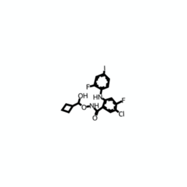 O=C(NOC(O)C1CCC1)c1cc(Cl)c(F)cc1Nc1ccc(I)cc1F